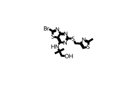 Cc1nc(CSc2nc(NC(C)(C)CO)c3sc(Br)nc3n2)cs1